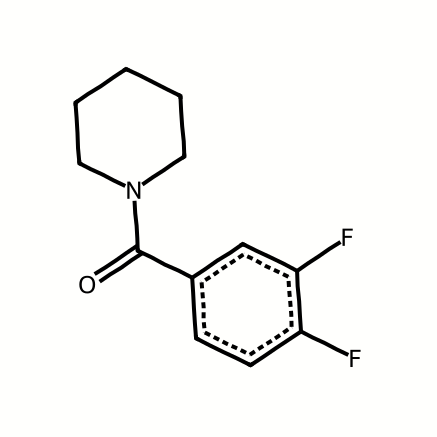 O=C(c1ccc(F)c(F)c1)N1CCCCC1